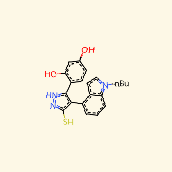 CCCCn1ccc2c(-c3c(S)n[nH]c3-c3ccc(O)cc3O)cccc21